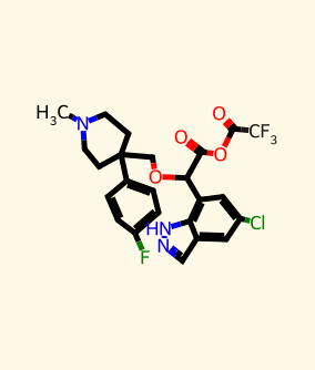 CN1CCC(COC(C(=O)OC(=O)C(F)(F)F)c2cc(Cl)cc3cn[nH]c23)(c2ccc(F)cc2)CC1